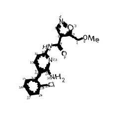 COCc1oncc1C(=O)Nc1ccc(-c2ccccc2Cl)c(N)n1